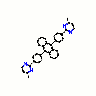 Cc1ccnc(-c2ccc(-c3c4ccccc4c(-c4ccc(-c5nccc(C)n5)cc4)c4ccccc34)cc2)n1